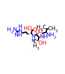 CC(C)[C@@H](N)C(=O)N[C@@H](C(=O)N[C@H](CCCNC(=N)N)C(=O)O)[C@H](C)O